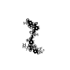 CC1(C)C(=O)N(c2ccc(C#N)c(C(F)(F)F)c2F)C(=S)N1c1ccc(OCCNC(=O)COc2cccc3c2C(=O)N(C2CCC(=O)NC2=O)C3=O)c(F)c1